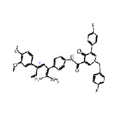 C=C/C(=C\C(=C(N)N)c1ccc(NC(=O)c2cn(Cc3ccc(F)cc3)cc(-c3ccc(F)cc3)c2=O)cc1)c1ccc(OC)c(OC)c1